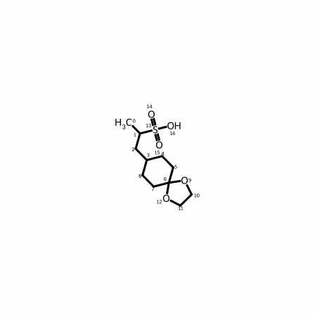 CC(CC1CCC2(CC1)OCCO2)S(=O)(=O)O